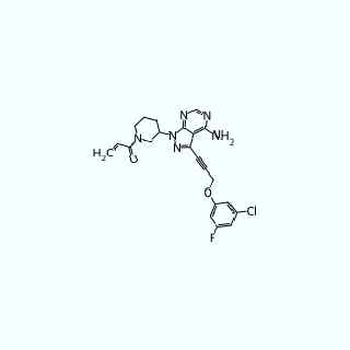 C=CC(=O)N1CCCC(n2nc(C#CCOc3cc(F)cc(Cl)c3)c3c(N)ncnc32)C1